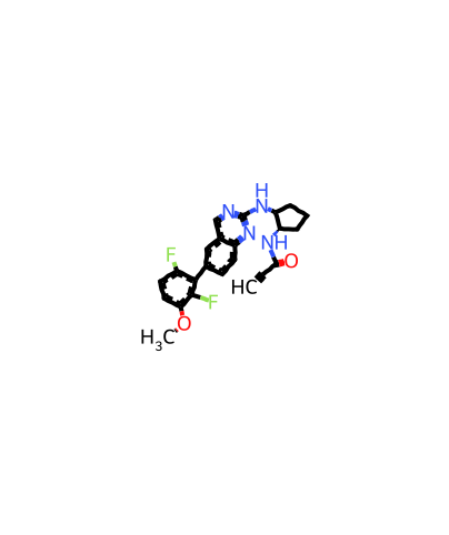 C#CC(=O)N[C@@H]1CCCC1Nc1ncc2cc(-c3c(F)ccc(OC)c3F)ccc2n1